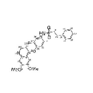 COc1cc2c(cc1OC)=C(Oc1ccc(NS(=O)(=O)CCc3ccccc3)cc1F)CCN=2